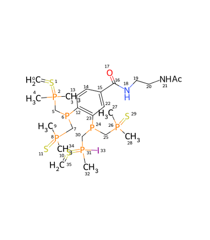 C=S=P(C)(C)CP(CP(C)(C)=S)c1ccc(C(=O)NCCNC(C)=O)cc1P(CP(C)(C)=S)CP(C)(I)=S=C